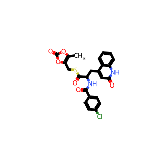 Cc1oc(=O)oc1CSC(=O)C(Cc1cc(=O)[nH]c2ccccc12)NC(=O)c1ccc(Cl)cc1